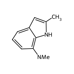 CNc1cccc2cc(C)[nH]c12